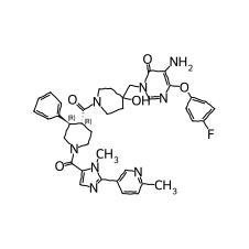 Cc1ccc(-c2ncc(C(=O)N3CC[C@@H](C(=O)N4CCC(O)(Cn5cnc(Oc6ccc(F)cc6)c(N)c5=O)CC4)[C@H](c4ccccc4)C3)n2C)cn1